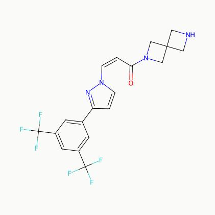 O=C(/C=C\n1ccc(-c2cc(C(F)(F)F)cc(C(F)(F)F)c2)n1)N1CC2(CNC2)C1